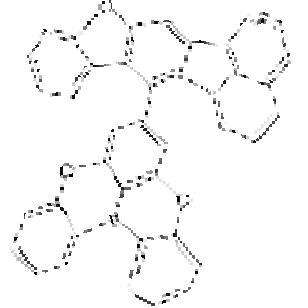 c1ccc2c(c1)Oc1cc(-c3c4c(cc5oc6ccccc6c35)-c3cccc5cccc-4c35)cc3c1B2c1ccccc1O3